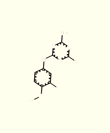 CCCOc1ccc(Nc2nc(N)nc(N)n2)cc1F